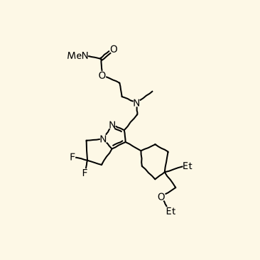 CCOCC1(CC)CCC(c2c(CN(C)CCOC(=O)NC)nn3c2CC(F)(F)C3)CC1